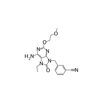 CCn1c(=O)n(Cc2cccc(C#N)c2)c2nc(OCCOC)nc(N)c21